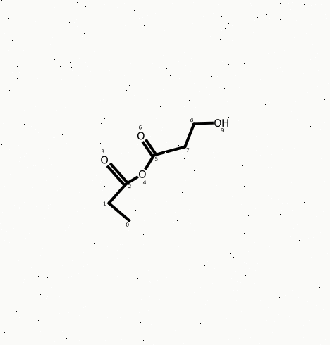 CCC(=O)OC(=O)CCO